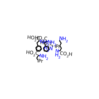 CC(C)C[C@H](N)C(=O)O.CC(C)[C@H](N)C(=O)O.NCCCC[C@H](N)C(=O)O.N[C@@H](Cc1ccccc1)C(=O)O.N[C@@H](Cc1ccccc1)C(=O)O